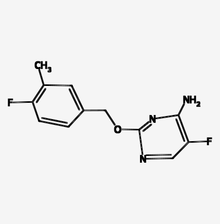 Cc1cc(COc2ncc(F)c(N)n2)ccc1F